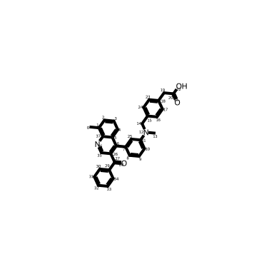 Cc1cccc2c(-c3cccc(N(C)Cc4ccc(CC(=O)O)cc4)c3)c(C(=O)c3ccccc3)cnc12